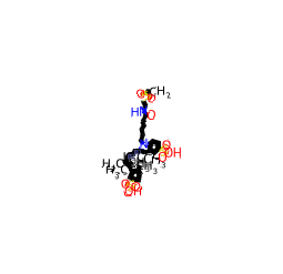 C=CS(=O)(=O)CCNC(=O)CCCCCN1/C(=C/C=C/C(=C)C(C)(C)c2cc(S(=O)(=O)O)ccc2C)C(C)(C)c2cc(S(=O)(=O)O)ccc21